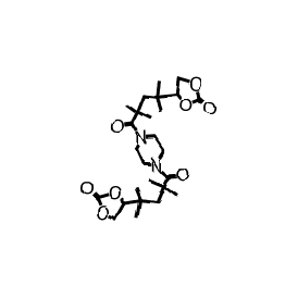 CC(C)(CC(C)(C)C1COC(=O)O1)C(=O)N1CCN(C(=O)C(C)(C)CC(C)(C)C2COC(=O)O2)CC1